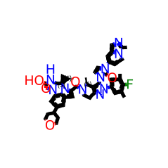 Cc1cc(-n2nc3c(c2-n2ccn(-c4ccn5c(C)ncc5c4)c2=O)[C@H](C)N(C(=O)c2cc4cc(C5CCOCC5)ccc4n2[C@@]2(C4=NOC(O)N4)C[C@@H]2C)CC3)cc(C)c1F